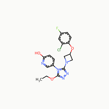 CCOc1nnc(N2CC(Oc3ccc(F)cc3Cl)C2)n1-c1ccc(O)nc1